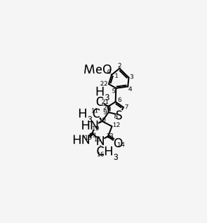 COc1cccc(-c2csc([C@]3(C)CC(=O)N(C)C(=N)N3)c2C)c1